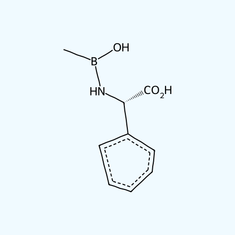 CB(O)N[C@H](C(=O)O)c1ccccc1